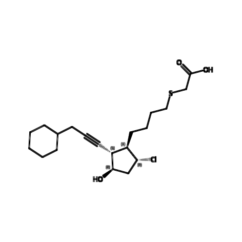 O=C(O)CSCCCC[C@@H]1[C@@H](C#CCC2CCCCC2)[C@H](O)C[C@H]1Cl